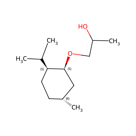 CC(O)CO[C@H]1C[C@H](C)CC[C@H]1C(C)C